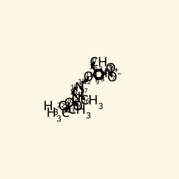 C=Cc1cc([N+](=O)[O-])ccc1OCCN1CCN(C(=O)OC(C)(C)C)C(C)C1